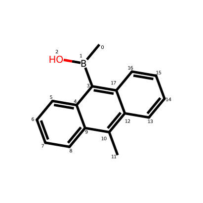 CB(O)c1c2ccccc2c(C)c2ccccc12